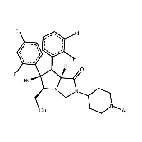 CC(=O)N1CCC(N2CN3[C@@H](CC(C)(C)C)[C@](C#N)(c4ccc(Cl)cc4F)[C@@H](c4cccc(Cl)c4F)[C@@H]3C2=O)CC1